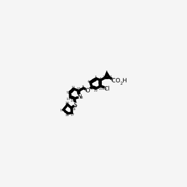 O=C(O)C1CC1c1ccc(OCc2cccc(SC3CCCC3)n2)cc1Cl